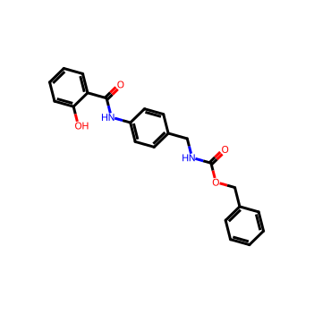 O=C(NCc1ccc(NC(=O)c2ccccc2O)cc1)OCc1ccccc1